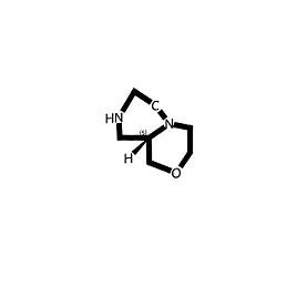 C1CN2CCOC[C@@H]2CN1